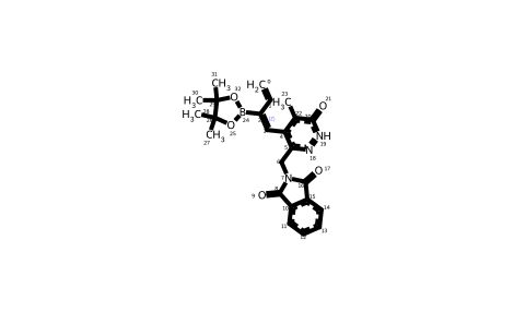 C=C/C(=C\c1c(CN2C(=O)c3ccccc3C2=O)n[nH]c(=O)c1C)B1OC(C)(C)C(C)(C)O1